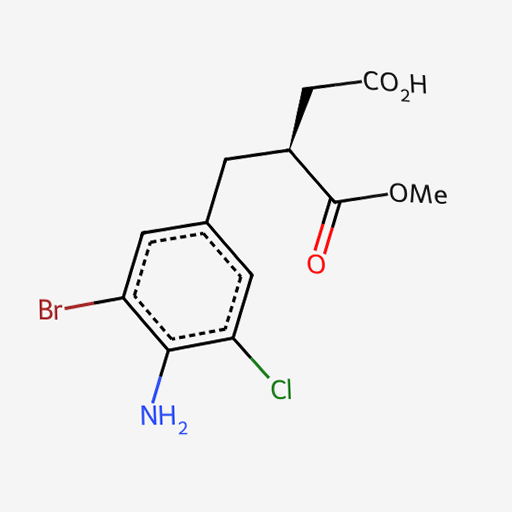 COC(=O)[C@H](CC(=O)O)Cc1cc(Cl)c(N)c(Br)c1